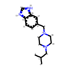 CC(C)CN1CCN(Cc2ccc3nc[nH]c3c2)CC1